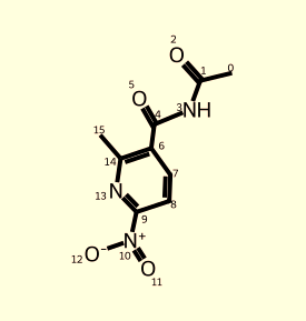 CC(=O)NC(=O)c1ccc([N+](=O)[O-])nc1C